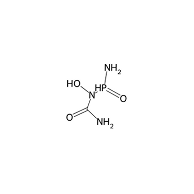 NC(=O)N(O)[PH](N)=O